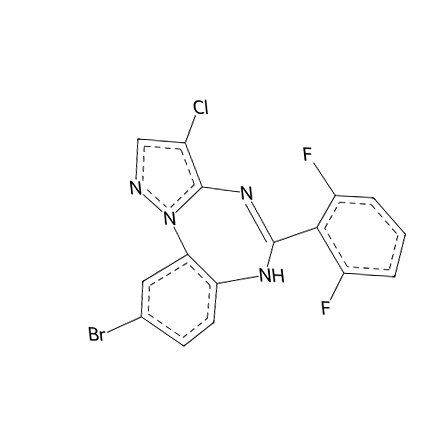 Fc1cccc(F)c1C1=Nc2c(Cl)cnn2-c2cc(Br)ccc2N1